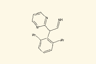 CC(C)c1cccc(C(C)C)c1C(C=N)c1ncccn1